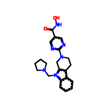 O=C(NO)c1cnc(N2CCc3c(n(CN4CCCC4)c4ccccc34)C2)nc1